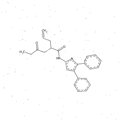 C=CCC(CC(=O)CC)C(=O)Nc1cc(-c2ccccc2)n(-c2ccccc2)n1